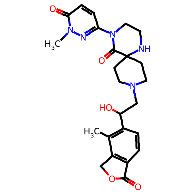 Cc1c(C(O)CN2CCC3(CC2)NCCN(c2ccc(=O)n(C)n2)C3=O)ccc2c1COC2=O